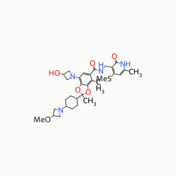 COC1CN(C2CCC(C3(C)Oc4c(N5CC(O)C5)cc(C(=O)NCc5c(SC)cc(C)[nH]c5=O)c(C)c4O3)CC2)C1